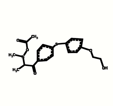 CC(=O)ON(C)C(C)C(=O)c1ccc(Sc2ccc(OCCO)cc2)cc1